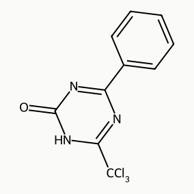 O=c1nc(-c2ccccc2)nc(C(Cl)(Cl)Cl)[nH]1